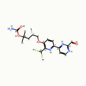 C[C@H](COc1ccc(-c2ccnc(C=O)n2)nc1C(F)F)CC(C)(C)OC(N)=O